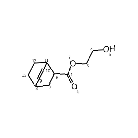 O=C(OCCO)C1CC2C=CC1CC2